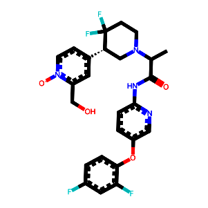 CC(C(=O)Nc1ccc(Oc2ccc(F)cc2F)cn1)N1CCC(F)(F)[C@@H](c2cc[n+]([O-])c(CO)c2)C1